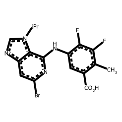 Cc1c(C(=O)O)cc(Nc2nc(Br)cc3ncn(C(C)C)c23)c(F)c1F